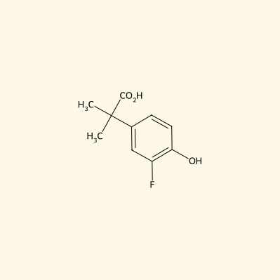 CC(C)(C(=O)O)c1ccc(O)c(F)c1